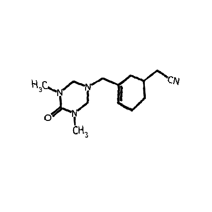 CN1CN(CC2=CCCC(CC#N)C2)CN(C)C1=O